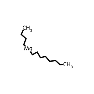 CCCCCCC[CH2][Mg][CH2]CCC